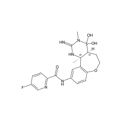 CN1C(=N)N[C@]2(C)c3cc(NC(=O)c4ccc(F)cn4)ccc3OCC[C@@H]2S1(O)O